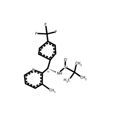 Cc1cccnc1[C@@H](N[S+]([O-])C(C)(C)C)c1ccc(C(F)(F)F)cc1